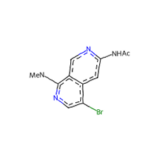 CNc1ncc(Br)c2cc(NC(C)=O)ncc12